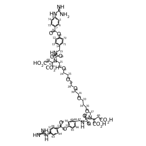 N=C(N)Nc1ccc(C(=O)Oc2ccc(CNS(=O)(=O)N(CCOCCOCCOCCOCCCOCN(C(CC(=O)O)C(=O)O)S(=O)(=O)NCc3ccc(OC(=O)c4ccc(NC(=N)N)cc4)cc3)C(CC(=O)O)C(=O)O)cc2)cc1